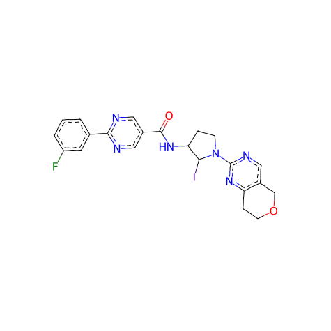 O=C(NC1CCN(c2ncc3c(n2)CCOC3)C1I)c1cnc(-c2cccc(F)c2)nc1